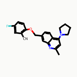 Cc1cc(N2CCCC2)c2ccc(COc3ccc(F)cc3C#N)cc2n1